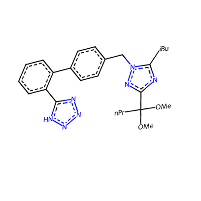 CCCC(OC)(OC)c1nc(C(C)CC)n(Cc2ccc(-c3ccccc3-c3nnn[nH]3)cc2)n1